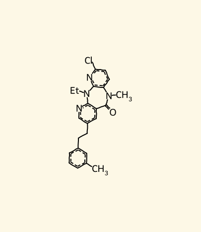 CCN1c2ncc(CCc3cccc(C)c3)cc2C(=O)N(C)c2ccc(Cl)nc21